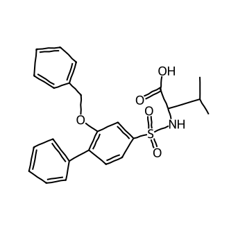 CC(C)C(NS(=O)(=O)c1ccc(-c2ccccc2)c(OCc2ccccc2)c1)C(=O)O